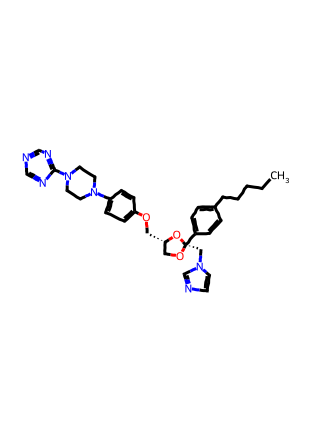 CCCCCc1ccc([C@@]2(Cn3ccnc3)OC[C@H](COc3ccc(N4CCN(c5ncncn5)CC4)cc3)O2)cc1